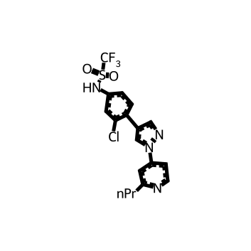 CCCc1cc(-n2cc(-c3ccc(NS(=O)(=O)C(F)(F)F)cc3Cl)cn2)ccn1